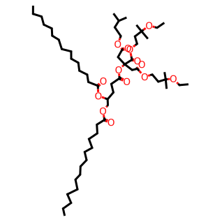 CCCCCCCCCCCCCCC(=O)OCC(CCC(=O)OC(CC(=O)OCCC(C)C)(CC(=O)OCCC(C)(C)OCC)C(=O)OCCC(C)(C)OCC)OC(=O)CCCCCCCCCCCCCC